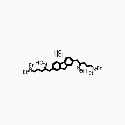 CCN(CC)CCCC(Cc1ccc2c(c1)Cc1cc(CC(CCCN(CC)CC)=NO)ccc1-2)=NO.Cl.Cl